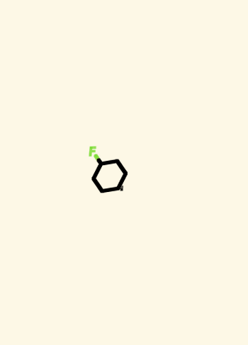 FC1CC[C]CC1